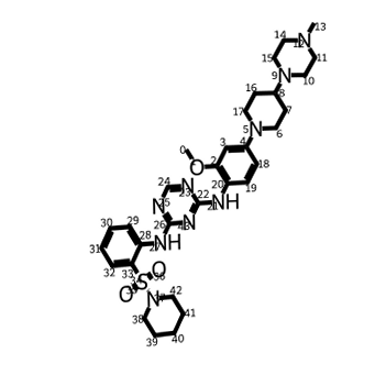 COc1cc(N2CCC(N3CCN(C)CC3)CC2)ccc1Nc1ncnc(Nc2ccccc2S(=O)(=O)N2CCCCC2)n1